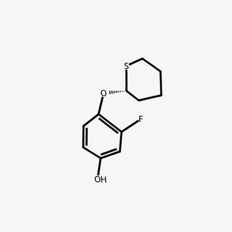 Oc1ccc(O[C@H]2CCCCS2)c(F)c1